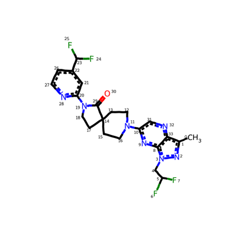 Cc1nn(CC(F)F)c2nc(N3CCC4(CC3)CCN(c3cc(C(F)F)ccn3)C4=O)cnc12